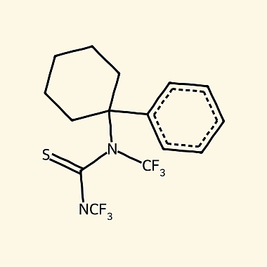 FC(F)(F)NC(=S)N(C(F)(F)F)C1(c2ccccc2)CCCCC1